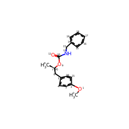 COc1ccc(C[C@@H](C)OC(=O)NCc2ccccc2)cc1